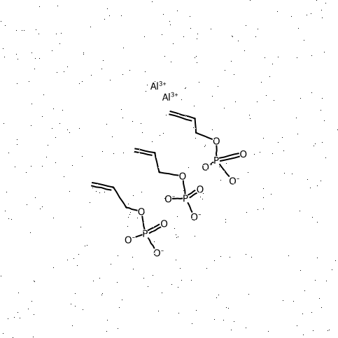 C=CCOP(=O)([O-])[O-].C=CCOP(=O)([O-])[O-].C=CCOP(=O)([O-])[O-].[Al+3].[Al+3]